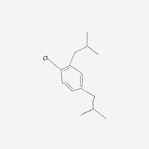 CC(C)Cc1ccc(Cl)c(CC(C)C)c1